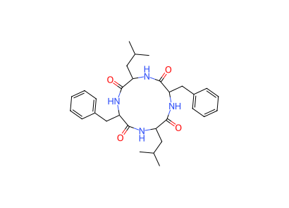 CC(C)CC1NC(=O)C(Cc2ccccc2)NC(=O)C(CC(C)C)NC(=O)C(Cc2ccccc2)NC1=O